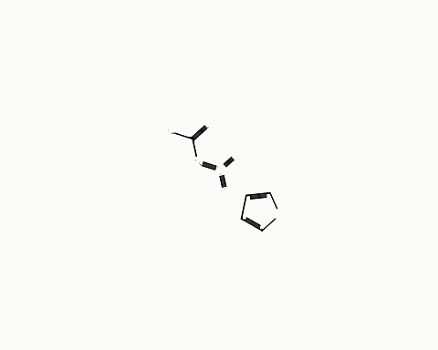 NC(=S)N=S(=O)=O.c1ccsc1